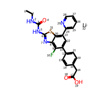 CCNC(=O)Nc1nc2c(F)c(-c3ccc(CC(=O)O)cc3)cc(-c3ccccn3)c2s1.[Li]